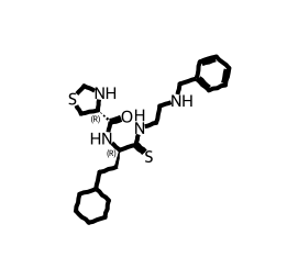 O=C(N[C@H](CCC1CCCCC1)C(=S)NCCNCc1ccccc1)[C@@H]1CSCN1